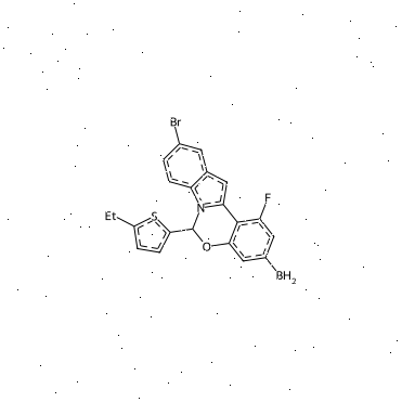 Bc1cc(F)c2c(c1)OC(c1ccc(CC)s1)n1c-2cc2cc(Br)ccc21